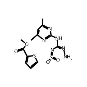 COC(=O)c1cccs1.Cc1cc(C)nc(NC(=NN)N=S(=O)=O)n1